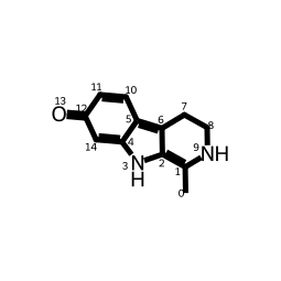 CC1=c2[nH]c3c(c2CCN1)C=CC(=O)C=3